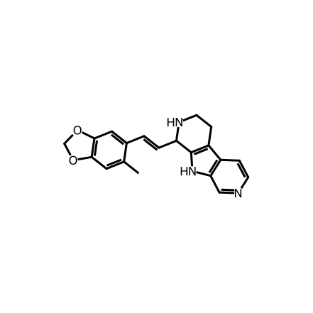 Cc1cc2c(cc1/C=C/C1NCCc3c1[nH]c1cnccc31)OCO2